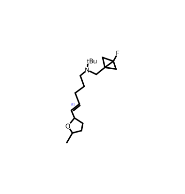 CC1CCC(/C=C/CCCN(CC23CC2(F)C3)C(C)(C)C)O1